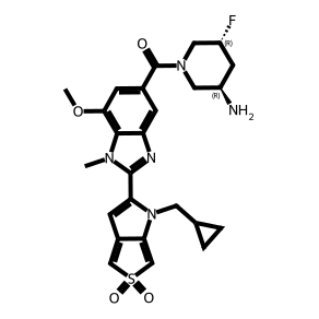 COc1cc(C(=O)N2C[C@H](N)C[C@@H](F)C2)cc2nc(-c3cc4c(n3CC3CC3)=CS(=O)(=O)C=4)n(C)c12